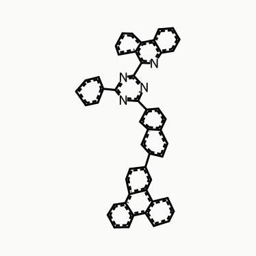 c1ccc(-c2nc(-c3ccc4ccc(-c5ccc6c7ccccc7c7ccccc7c6c5)cc4c3)nc(-c3nc4ccccc4c4ccccc34)n2)cc1